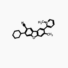 Cc1cc2oc3cc(C4CCCCC4)c(C#N)cc3c2cc1-c1cccc[n+]1C